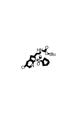 CC(C)(C)OC(=O)NCCc1cc2cc(Cl)cnc2n1S(=O)(=O)c1ccccc1